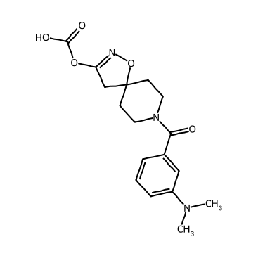 CN(C)c1cccc(C(=O)N2CCC3(CC2)CC(OC(=O)O)=NO3)c1